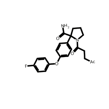 CC(=O)CCC(=O)N1CCCC1(C(N)=O)c1ccc(Oc2ccc(F)cc2)cc1